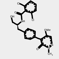 COc1cnn(C)c(=O)c1-c1ccc(C[C@@H](CO)NC(=O)c2c(Cl)cccc2Cl)cc1